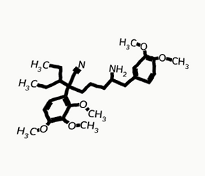 CCC(CC)C(C#N)(CCCC(N)Cc1ccc(OC)c(OC)c1)c1ccc(OC)c(OC)c1OC